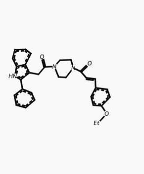 CCOc1ccc(/C=C/C(=O)N2CCN(C(=O)Cc3c(-c4ccccc4)[nH]c4ccccc34)CC2)cc1